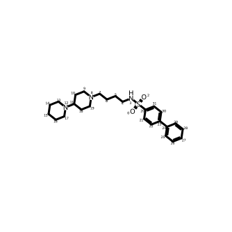 O=S(=O)(NCCCCN1CCC(N2CCCCC2)CC1)c1ccc(-c2ccccc2)cc1